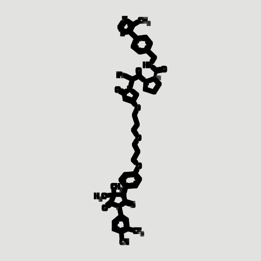 Cc1ncsc1-c1ccc(CNC(=O)[C@@H]2CCCN2C(=O)C(C(C)C)N2CC(OCCCOCCCOc3ccc(N4C(=S)N(c5ccc(C#N)c(C(F)(F)F)c5)C(=O)C4(C)C)cc3)=CC2=O)cc1